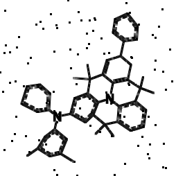 Cc1cc(C)cc(N(c2ccccc2)c2cc3c4c(c2)C(C)(C)c2cccc5c2N4C2=C(CC(c4ccccc4)C=C2C3(C)C)C5(C)C)c1